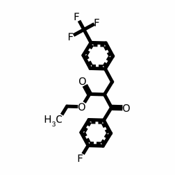 CCOC(=O)C(Cc1ccc(C(F)(F)F)cc1)C(=O)c1ccc(F)cc1